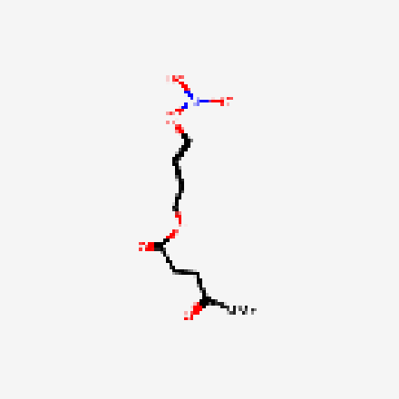 COC(=O)CCC(=O)OCCCCON(O)O